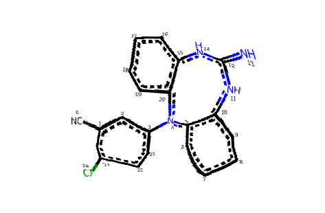 N#Cc1cc(-n2c3ccccc3[nH]c(=N)[nH]c3ccccc32)ccc1Cl